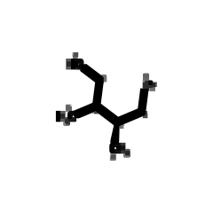 CC(C)C[C@@H](C)C(C)CO